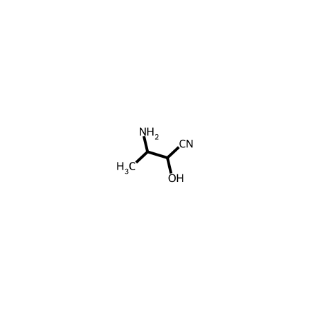 CC(N)C(O)C#N